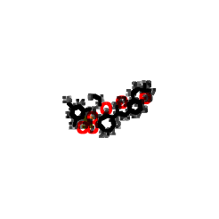 C=CCOC1=CC(OS(=O)(=O)c2c(C)cc(C)cc2C)=CCC=C1C1=Cc2ccc3c(c2OC1)C=CC(C)(C)O3